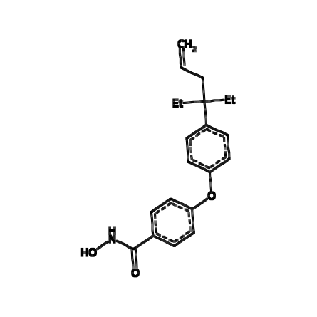 C=CCC(CC)(CC)c1ccc(Oc2ccc(C(=O)NO)cc2)cc1